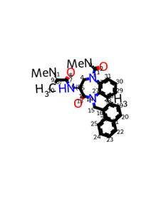 CNC(=O)N1C[C@H](NC(=O)[C@H](C)NC)C(=O)N(Cc2c(C)ccc3ccccc23)c2ccccc21